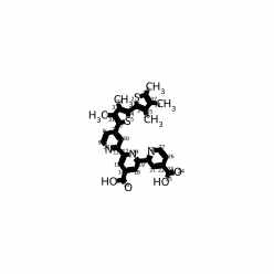 Cc1sc(-c2sc(-c3ccnc(-c4cc(C(=O)O)cc(-c5cc(C(=O)O)ccn5)n4)c3)c(C)c2C)c(C)c1C